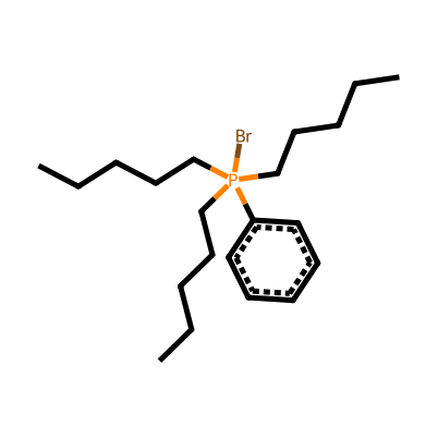 CCCCCP(Br)(CCCCC)(CCCCC)c1ccccc1